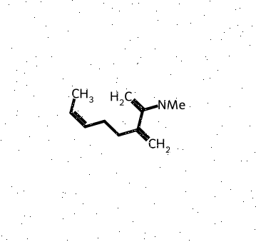 C=C(CC/C=C\C)C(=C)NC